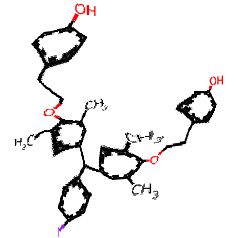 Cc1cc(C(c2ccc(I)cc2)c2cc(C)c(OCCc3ccc(O)cc3)c(C)c2)cc(C)c1OCCc1ccc(O)cc1